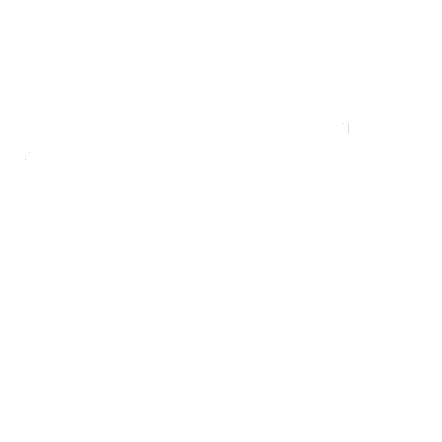 CCc1cc(C#CC(Cc2ccc(C)c(C)c2)c2cccc(Cl)c2)ccc1C=O